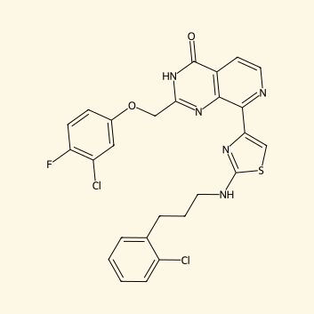 O=c1[nH]c(COc2ccc(F)c(Cl)c2)nc2c(-c3csc(NCCCc4ccccc4Cl)n3)nccc12